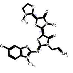 C=CCN1C(=O)/C(=c2/s/c(=C3/SCCN3C)c(=O)n2CC)S/C1=N\c1sc2cc(Cl)ccc2[n+]1C